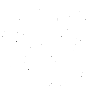 COc1ccc(CCN=C=O)cc1